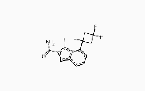 Cc1c(C(N)=O)nc2cccc(C3(C)CC(F)(F)C3)n12